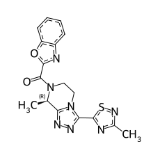 Cc1nsc(-c2nnc3n2CCN(C(=O)c2nc4ccccc4o2)[C@@H]3C)n1